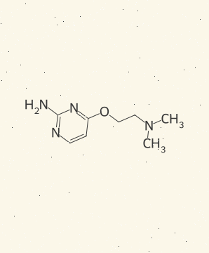 CN(C)CCOc1ccnc(N)n1